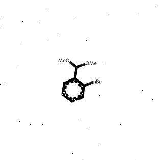 CCCCc1ccccc1C(OC)OC